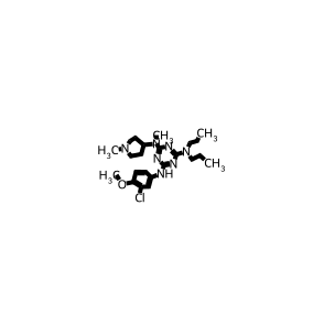 CCCN(CCC)c1nc(Nc2ccc(OC)c(Cl)c2)nc(N(C)C2CCN(C)CC2)n1